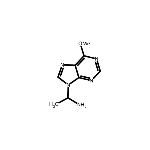 COc1ncnc2c1ncn2C(C)N